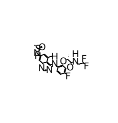 Cc1cc(/N=[SH](/C)=O)cc2ncnc(Nc3ccc(F)cc3O[C@H](C)C(=O)NCC(F)F)c12